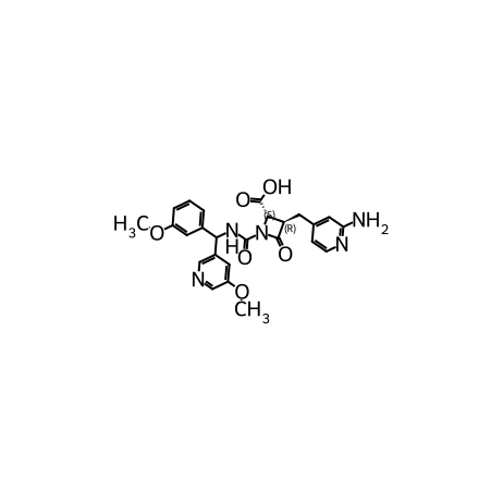 COc1cccc(C(NC(=O)N2C(=O)[C@H](Cc3ccnc(N)c3)[C@H]2C(=O)O)c2cncc(OC)c2)c1